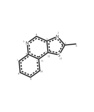 Cc1nc2cnc3ccccc3c2s1